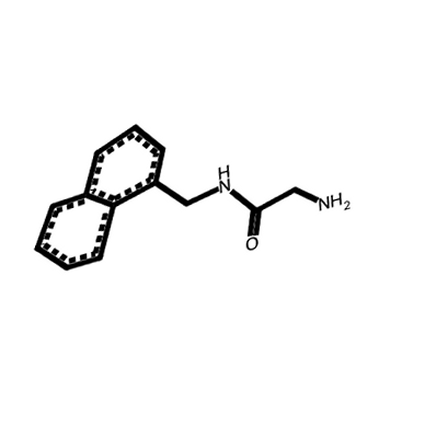 NCC(=O)NCc1cccc2ccccc12